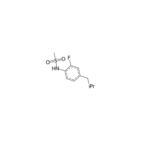 CC(C)Cc1ccc(NS(C)(=O)=O)c(F)c1